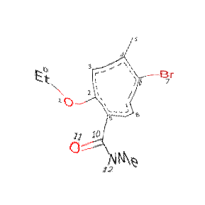 CCOc1cc(C)c(Br)cc1C(=O)NC